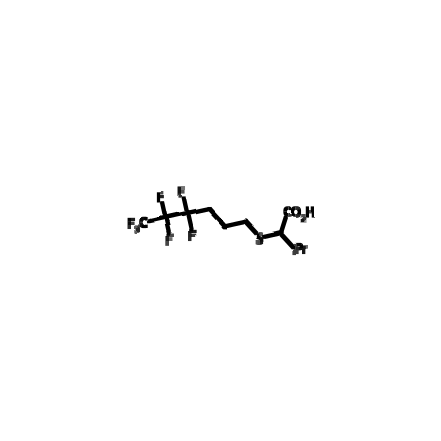 CC(C)C(SCCCC(F)(F)C(F)(F)C(F)(F)F)C(=O)O